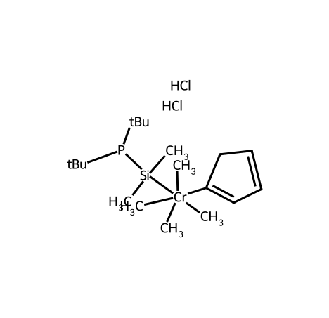 CC(C)(C)P(C(C)(C)C)[Si](C)(C)[Cr]([CH3])([CH3])([CH3])([CH3])[C]1=CC=CC1.Cl.Cl